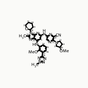 COc1c(Nc2cc(Nc3cnc(N4CC[C@@H](OC)C4)c(C#N)n3)nc3c2nc(C)n3C2CCCCO2)cccc1-c1nnn(C)n1